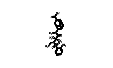 CCN(C(C)(C)C(=O)N(C)C1C2CC3CC1CC(C(=O)O)(C3)C2)S(=O)(=O)c1ccccc1C